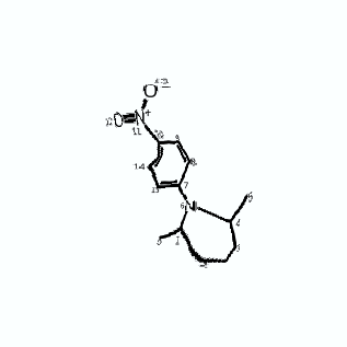 CC1CCC(C)N1c1ccc([N+](=O)[O-])cc1